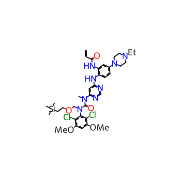 C=CC(=O)Nc1cc(N2CCN(CC)CC2)ccc1Nc1cc(N(C)C(=O)N(COCC[Si](C)(C)C)c2c(Cl)c(OC)cc(OC)c2Cl)ncn1